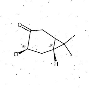 CC1(C)C2CC(=O)[C@H](Cl)C[C@H]21